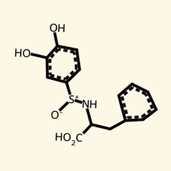 O=C(O)C(Cc1ccccc1)N[S+]([O-])c1ccc(O)c(O)c1